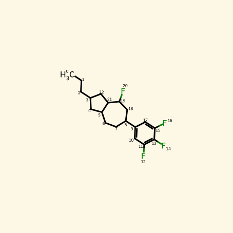 CCCC1CC2CCC(c3cc(F)c(F)c(F)c3)CC(F)C2C1